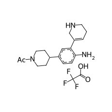 CC(=O)N1CCC(c2ccc(N)c(C3=CCCNC3)c2)CC1.O=C(O)C(F)(F)F